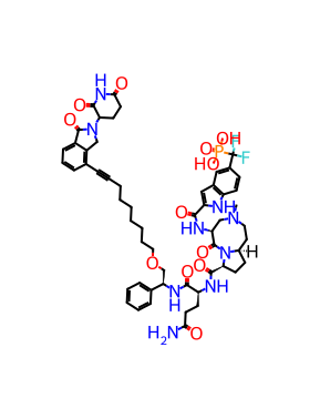 CN1CC[C@H]2CC[C@@H](C(=O)N[C@@H](CCC(N)=O)C(=O)N[C@H](COCCCCCCCC#Cc3cccc4c3CN(C3CCC(=O)NC3=O)C4=O)c3ccccc3)N2C(=O)[C@@H](NC(=O)c2cc3cc(C(F)(F)P(=O)(O)O)ccc3[nH]2)C1